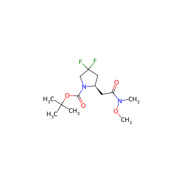 CON(C)C(=O)C[C@@H]1CC(F)(F)CN1C(=O)OC(C)(C)C